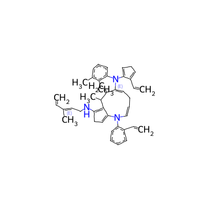 C=CC1=CCC=C1N(/C1=C/CC=CN(c2ccccc2C=C)C2=CCC(NC/C=C(\C)C=C)=C2C(C)C1=C)c1cccc(C)c1C